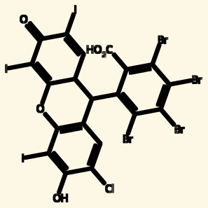 O=C1C(I)=CC2C(=C1I)Oc1c(cc(Cl)c(O)c1I)C2c1c(Br)c(Br)c(Br)c(Br)c1C(=O)O